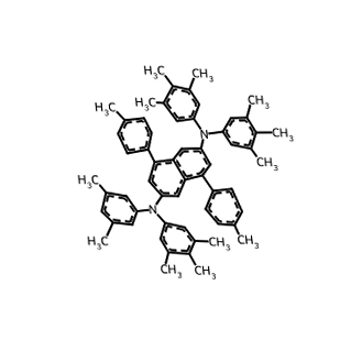 Cc1ccc(-c2cc(N(c3cc(C)c(C)c(C)c3)c3cc(C)c(C)c(C)c3)cc3c(-c4ccc(C)cc4)cc(N(c4cc(C)cc(C)c4)c4cc(C)c(C)c(C)c4)cc23)cc1